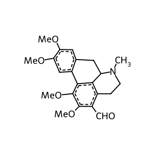 COc1cc2c(cc1OC)-c1c(OC)c(OC)c(C=O)c3c1C(C2)N(C)CC3